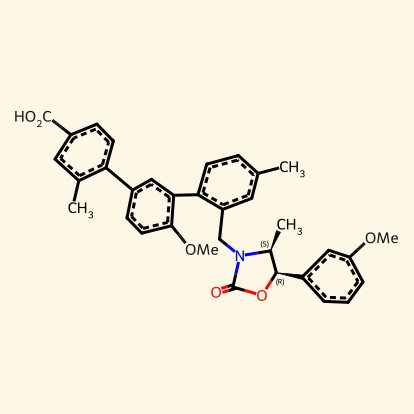 COc1cccc([C@H]2OC(=O)N(Cc3cc(C)ccc3-c3cc(-c4ccc(C(=O)O)cc4C)ccc3OC)[C@H]2C)c1